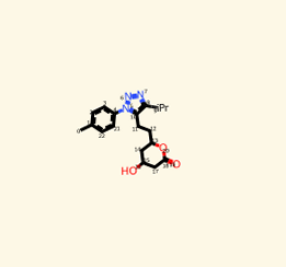 Cc1ccc(-n2nnc(C(C)C)c2CCC2CC(O)CC(=O)O2)cc1